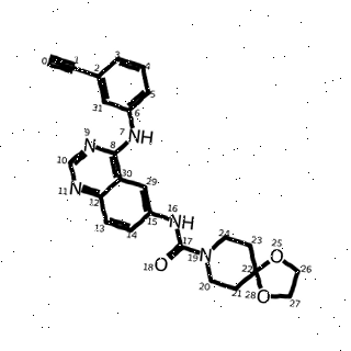 C#Cc1cccc(Nc2ncnc3ccc(NC(=O)N4CCC5(CC4)OCCO5)cc23)c1